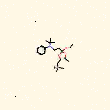 CCO[Si](CCN(c1ccccc1)C(C)(C)C)(OCC)OCC[SiH](C)C